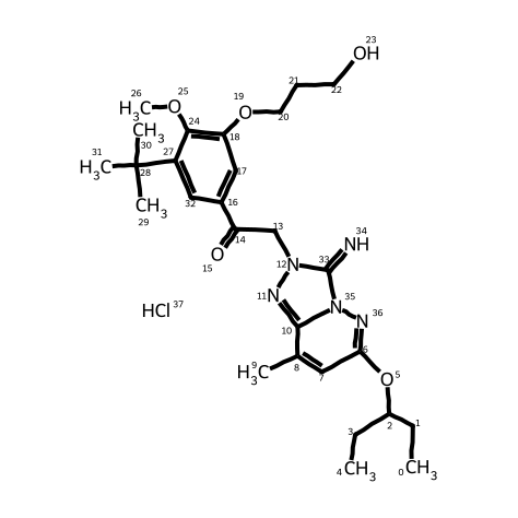 CCC(CC)Oc1cc(C)c2nn(CC(=O)c3cc(OCCCO)c(OC)c(C(C)(C)C)c3)c(=N)n2n1.Cl